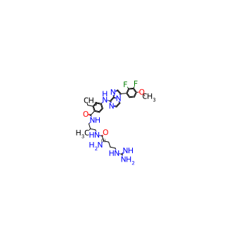 CCc1cc(Nc2nccn3c(-c4ccc(OC)c(F)c4F)cnc23)ccc1C(=O)NCC(C)CNC(=O)[C@@H](N)CCCNC(=N)N